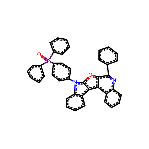 O=P(c1ccccc1)(c1ccccc1)c1ccc(-n2c3ccccc3c3c4c(oc32)c(-c2ccccc2)nc2ccccc24)cc1